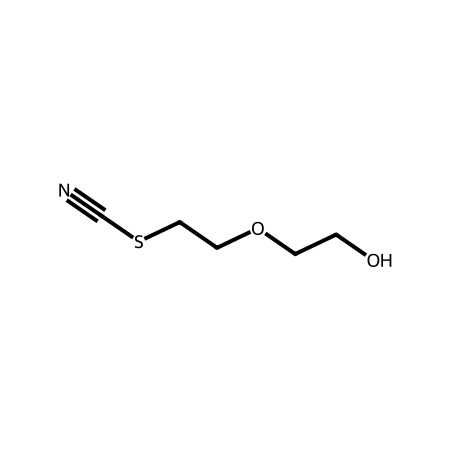 N#CSCCOCCO